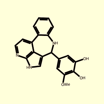 COc1cc(C2Nc3ccccc3-c3ccnc4[nH]cc2c34)cc(O)c1O